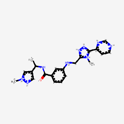 CC(NC(=O)c1cccc(NCc2nnc(-c3ccncn3)n2C)c1)c1cnn(C)c1